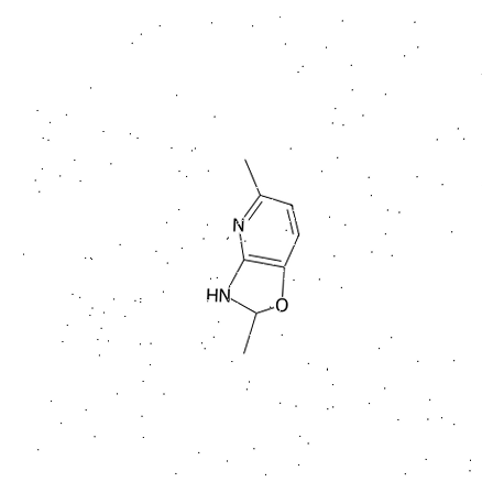 Cc1ccc2c(n1)NC(C)O2